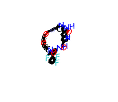 CC1C(c2c(F)ccc(F)c2F)CC2NC(=O)c3cnc4c(c3)C[C@@]3(C4)C(=O)Nc4ncc(cc43)/C=C/COCCOCCCN1C2=O